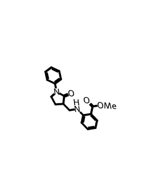 COC(=O)c1ccccc1NCC1CCN(c2ccccc2)C1=O